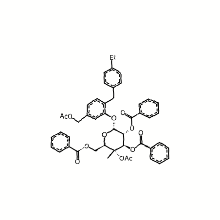 CCc1ccc(Cc2ccc(COC(C)=O)cc2O[C@H]2O[C@H](COC(=O)c3ccccc3)[C@@](C)(OC(C)=O)[C@H](OC(=O)c3ccccc3)[C@H]2OC(=O)c2ccccc2)cc1